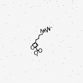 COC(=O)c1cc(CCCCN=[N+]=[N-])co1